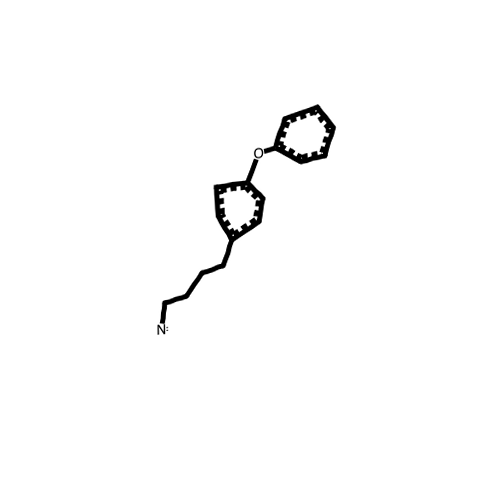 [N]CCCCc1ccc(Oc2ccccc2)cc1